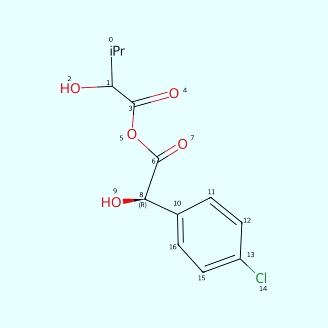 CC(C)C(O)C(=O)OC(=O)[C@H](O)c1ccc(Cl)cc1